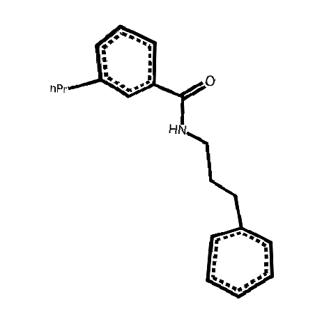 CCCc1cccc(C(=O)NCCCc2ccccc2)c1